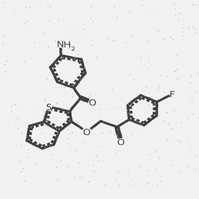 Nc1ccc(C(=O)c2sc3ccccc3c2OCC(=O)c2ccc(F)cc2)cc1